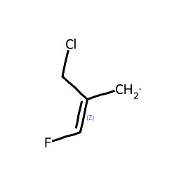 [CH2]/C(=C/F)CCl